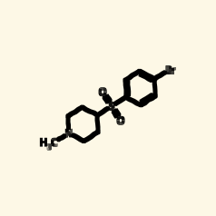 CN1CCC(S(=O)(=O)c2ccc(Br)cc2)CC1